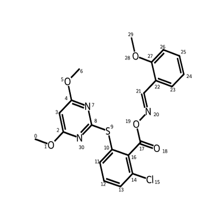 COc1cc(OC)nc(Sc2cccc(Cl)c2C(=O)O/N=C/c2ccccc2OC)n1